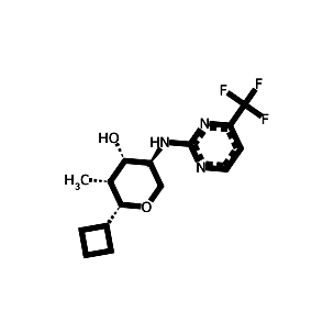 C[C@@H]1[C@H](O)[C@@H](Nc2nccc(C(F)(F)F)n2)CO[C@@H]1C1CCC1